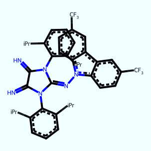 CC(C)c1cccc(C(C)C)c1N1C(=N)C(=N)N(c2c(C(C)C)cccc2C(C)C)C1=Nn1c2ccc(C(F)(F)F)cc2c2cc(C(F)(F)F)ccc21